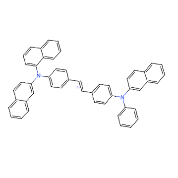 C(=C\c1ccc(N(c2ccc3ccccc3c2)c2cccc3ccccc23)cc1)/c1ccc(N(c2ccccc2)c2ccc3ccccc3c2)cc1